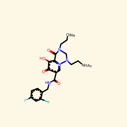 COCCN1CN(CCNC(C)=O)n2cc(C(=O)NCc3ccc(F)cc3F)c(=O)c(O)c2C1=O